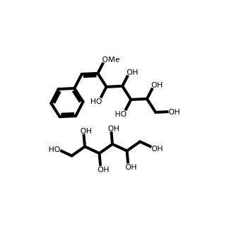 COC(=Cc1ccccc1)C(O)C(O)C(O)C(O)CO.OCC(O)C(O)C(O)C(O)CO